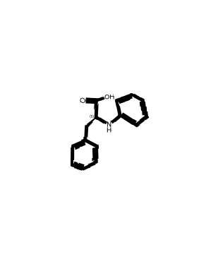 O=C(O)[C@H](Cc1ccccc1)Nc1ccccc1